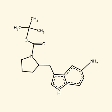 CC(C)(C)OC(=O)N1CCCC1Cc1c[nH]c2ccc(N)cc12